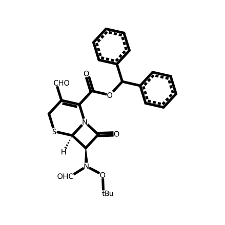 CC(C)(C)ON(C=O)[C@@H]1C(=O)N2C(C(=O)OC(c3ccccc3)c3ccccc3)=C(C=O)CS[C@H]12